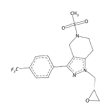 CS(=O)(=O)N1CCc2c(c(-c3ccc(C(F)(F)F)cc3)nn2C[C@@H]2CO2)C1